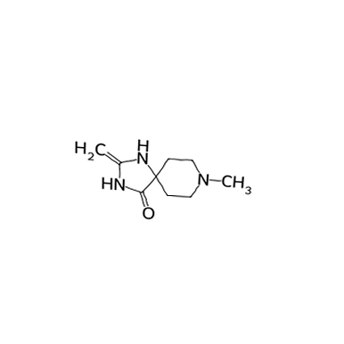 C=C1NC(=O)C2(CCN(C)CC2)N1